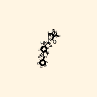 Cc1noc(C)c1C(=O)NC(=S)Nc1ccc(N(C)Cc2ccccc2)c(F)c1